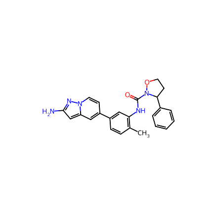 Cc1ccc(-c2ccn3nc(N)cc3c2)cc1NC(=O)N1OCCC1c1ccccc1